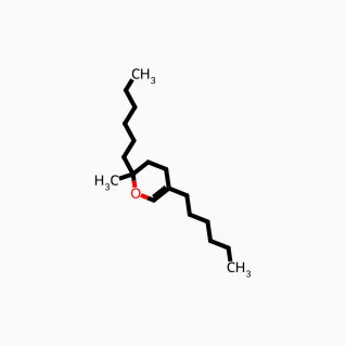 CCCCCCC1=COC(C)(CCCCCC)CC1